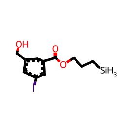 O=C(OCCC[SiH3])c1cc(I)cc(CO)c1